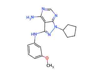 COc1cccc(Nc2nn(C3CCCC3)c3ncnc(N)c23)c1